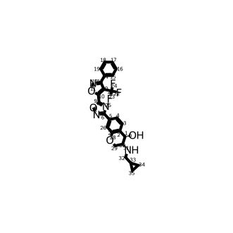 O[C@H]1c2ccc(-c3noc(-c4onc(-c5ccccc5)c4C(F)(F)F)n3)cc2OC[C@@H]1NCC1CC1